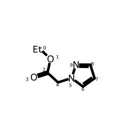 CCOC(=O)Cn1cccn1